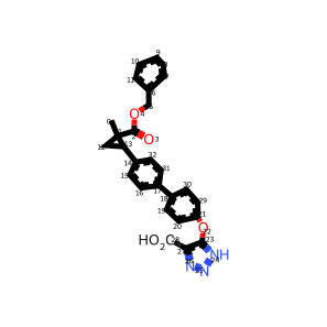 CC1(C(=O)OCc2ccccc2)CC1c1ccc(-c2ccc(Oc3[nH]nnc3C(=O)O)cc2)cc1